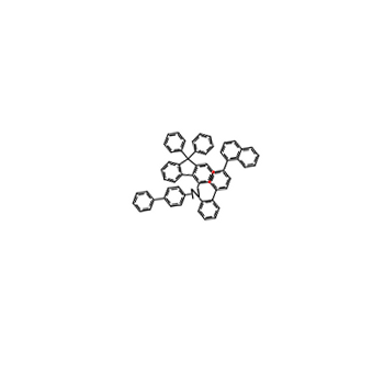 c1ccc(-c2ccc(N(c3ccccc3-c3ccc(-c4cccc5ccccc45)cc3)c3cccc4c3-c3ccccc3C4(c3ccccc3)c3ccccc3)cc2)cc1